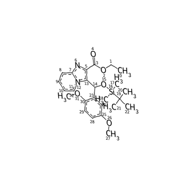 CCOC(=O)c1nc2ccccn2c1C(O[Si](C)(C)C(C)(C)C)c1cc(OC)ccc1OC